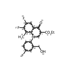 CCOC(=O)c1cn(-c2ccc(F)cc2CO)c2c(C)c(F)c(F)cc2c1=O